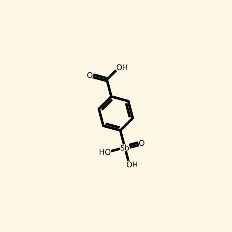 O=C(O)c1cc[c]([Sb](=[O])([OH])[OH])cc1